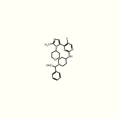 Cc1ncc(-c2nc(NC3CCN(C(C=O)c4ccccc4)CC3)ncc2F)n1C1CCOCC1